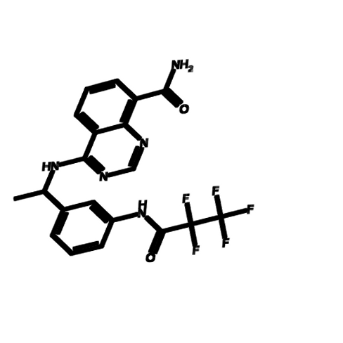 CC(Nc1ncnc2c(C(N)=O)cccc12)c1cccc(NC(=O)C(F)(F)C(F)(F)F)c1